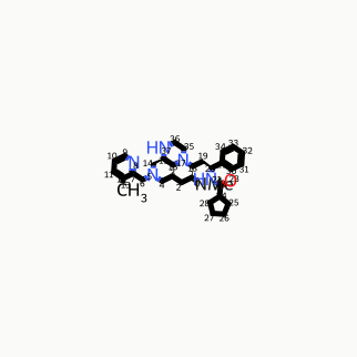 CNCCCCN(Cc1ncccc1C)C[C@@H]1CN(CC[C@H](NC(=O)C2CCCC2)c2ccccc2)CCN1